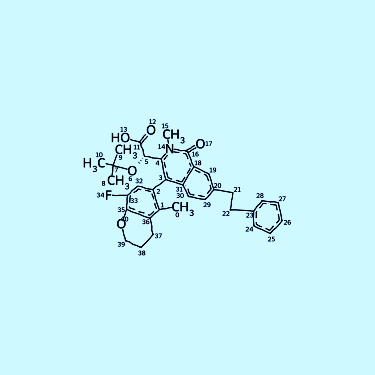 Cc1c(-c2c([C@H](OC(C)(C)C)C(=O)O)n(C)c(=O)c3cc(CCc4ccccc4)ccc23)cc(F)c2c1CCCO2